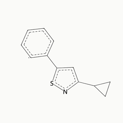 [c]1ccccc1-c1cc(C2CC2)ns1